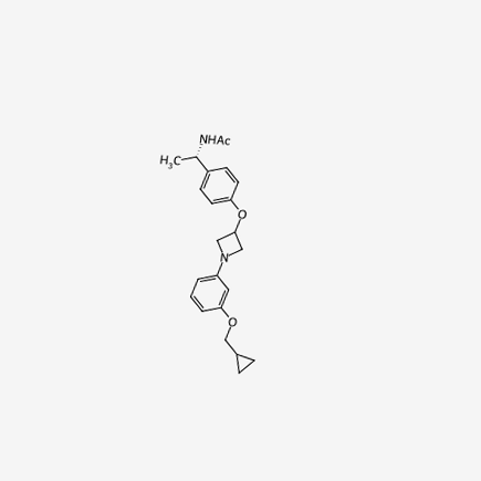 CC(=O)N[C@@H](C)c1ccc(OC2CN(c3cccc(OCC4CC4)c3)C2)cc1